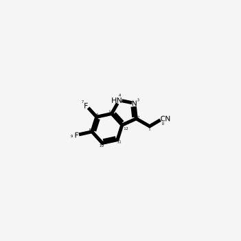 N#CCc1n[nH]c2c(F)c(F)ccc12